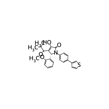 COc1ccccc1[C@@H]1C(C(=O)C(C)C)=C(O)C(=O)N1c1ccc(-c2ccsc2)cc1